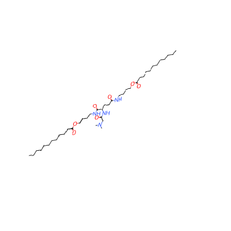 CCCCCCCCCCCC(=O)OCCCCNC(=O)CCC(NC(=O)CN(C)C)C(=O)NCCCCOC(=O)CCCCCCCCCCC